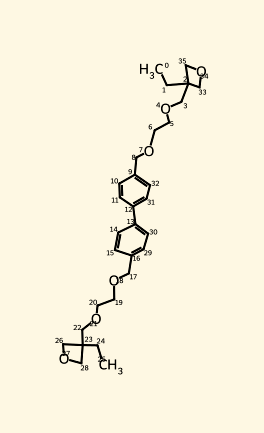 CCC1(COCCOCc2ccc(-c3ccc(COCCOCC4(CC)COC4)cc3)cc2)COC1